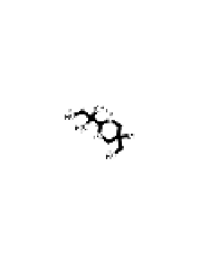 CCC1(CO)COC(C(C)(C)CO)SC1